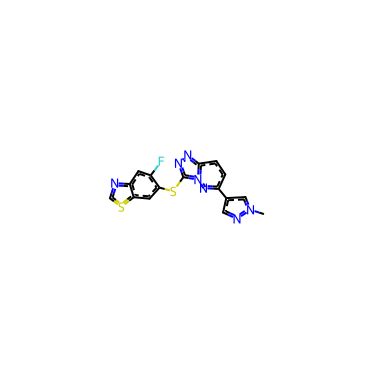 Cn1cc(-c2ccc3nnc(Sc4cc5scnc5cc4F)n3n2)cn1